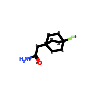 NC(=O)CC12CCC(F)(CC1)CC2